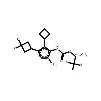 C[C@@H](OC(=O)Nc1c(C2CCC2)c(C2CC(F)(F)C2)nn1C)C(F)(F)F